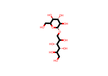 OCC(O)[C@@H](O)[C@H](O)C(O)CO[C@@H]1OC(CO)[C@@H](O)[C@H](O)C1O